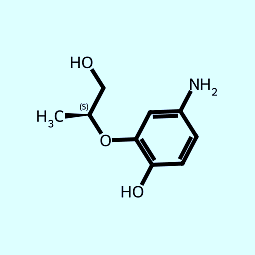 C[C@@H](CO)Oc1cc(N)ccc1O